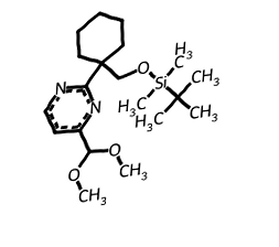 COC(OC)c1ccnc(C2(CO[Si](C)(C)C(C)(C)C)CCCCC2)n1